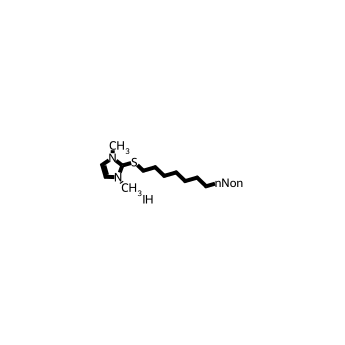 CCCCCCCCCCCCCCCCSC1N(C)C=CN1C.I